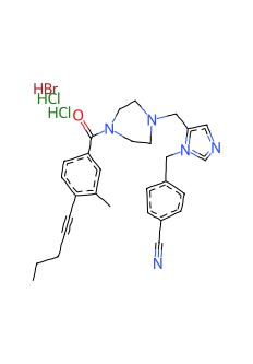 Br.CCCC#Cc1ccc(C(=O)N2CCN(Cc3cncn3Cc3ccc(C#N)cc3)CC2)cc1C.Cl.Cl